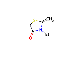 C=C1SCC(=O)N1CC